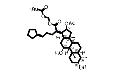 CC(=O)O[C@H]1C[C@@]2(C)[C@@H](C[C@@H](O)[C@H]3[C@@]4(C)CC[C@@H](O)[C@@H](C)[C@@H]4CC[C@@]32C)/C1=C(\CCC=C1CCCC1)C(=O)OCOC(=O)C(C)(C)C